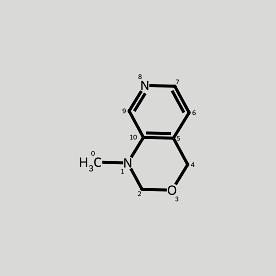 CN1COCc2ccncc21